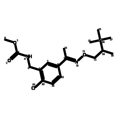 COC(=O)NCc1cc(/C(C)=N/OCC(C)[Si](C)(C)C)ccc1Cl